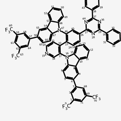 FC(F)(F)c1cc(-c2ccc3c(c2)c2ccccc2n3-c2cnccc2-c2ccc(-c3nc(-c4ccccc4)nc(-c4ccccc4)n3)cc2-n2c3ccccc3c3cc(-c4cc(C(F)(F)F)cc(C(F)(F)F)c4)ccc32)cc(C(F)(F)F)c1